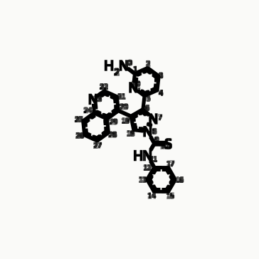 Nc1cccc(-c2nn(C(=S)Nc3ccccc3)cc2-c2ccnc3ccccc23)n1